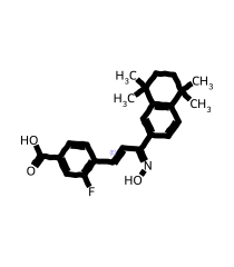 CC1(C)CCC(C)(C)c2cc(C(/C=C/c3ccc(C(=O)O)cc3F)=NO)ccc21